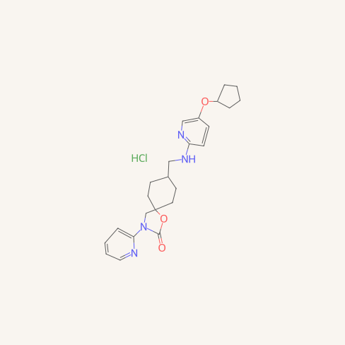 Cl.O=C1OC2(CCC(CNc3ccc(OC4CCCC4)cn3)CC2)CN1c1ccccn1